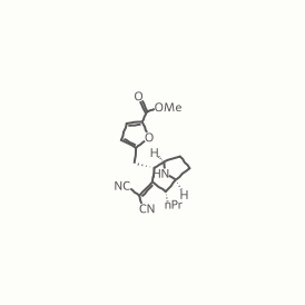 CCC[C@@H]1C(=C(C#N)C#N)[C@H](Cc2ccc(C(=O)OC)o2)[C@H]2CC[C@@H]1N2